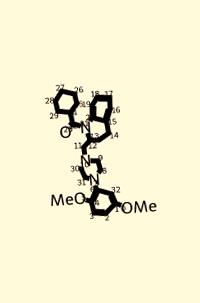 COc1ccc(OC)c(N2CCN(CC3CCc4ccccc4N3C(=O)C3CCCCC3)CC2)c1